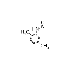 Cc1ccc(C)c(N[C]=O)c1